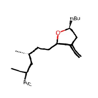 C=C1C[C@H](CCCC)OC1CC[C@@H](C)CC(C)C(C)=O